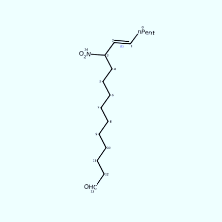 CCCCC/C=C/C(CCCCCCCCCC=O)[N+](=O)[O-]